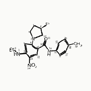 CCNc1cc(N2CC[C@@H](F)C2)c(C(=O)Nc2ccc(C)cc2)cc1[N+](=O)[O-]